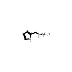 O=S(=O)(O)NCc1ccco1